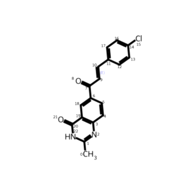 Cc1nc2ccc(C(=O)/C=C/c3ccc(Cl)cc3)cc2c(=O)[nH]1